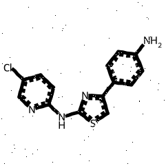 Nc1ccc(-c2csc(Nc3ccc(Cl)cn3)n2)cc1